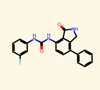 O=C(Nc1cccc(F)c1)Nc1ccc(-c2ccccc2)c2c1C(=O)NC2